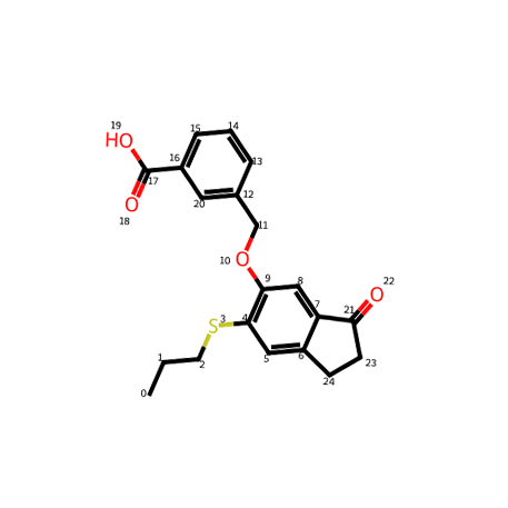 CCCSc1cc2c(cc1OCc1cccc(C(=O)O)c1)C(=O)CC2